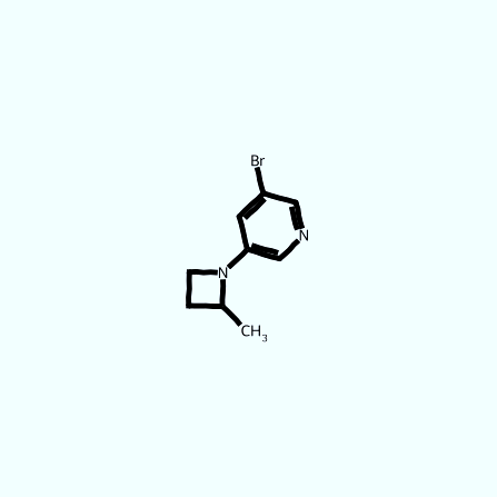 CC1CCN1c1cncc(Br)c1